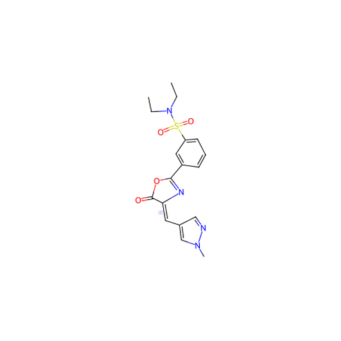 CCN(CC)S(=O)(=O)c1cccc(C2=N/C(=C\c3cnn(C)c3)C(=O)O2)c1